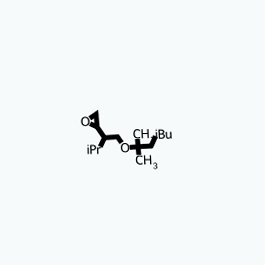 CCC(C)CC(C)(C)OCC(C(C)C)C1CO1